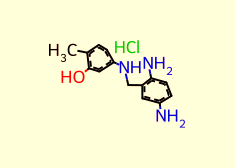 Cc1ccc(NCc2cc(N)ccc2N)cc1O.Cl